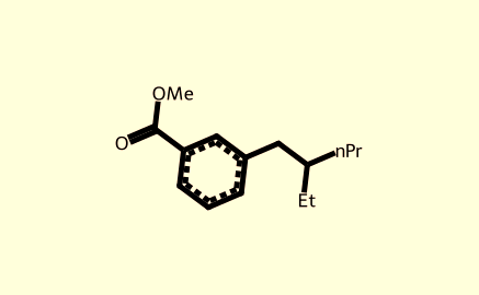 CCCC(CC)Cc1cccc(C(=O)OC)c1